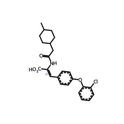 CC1CCC(CC(=O)N/C(=C\c2ccc(Oc3ccccc3Cl)cc2)C(=O)O)CC1